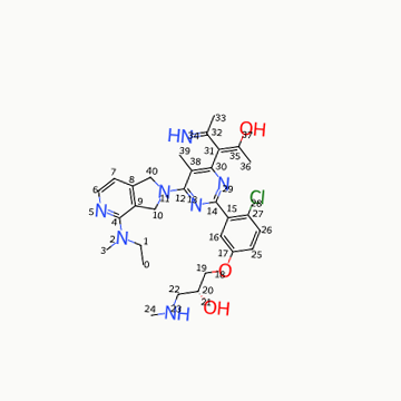 CCN(C)c1nccc2c1CN(c1nc(-c3cc(OC[C@H](O)CNC)ccc3Cl)nc(/C(C(C)=N)=C(\C)O)c1C)C2